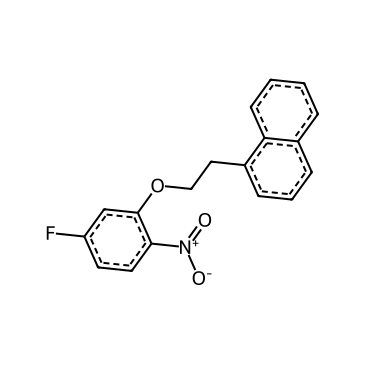 O=[N+]([O-])c1ccc(F)cc1OCCc1cccc2ccccc12